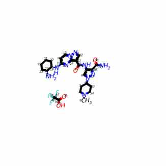 CN1CCC(n2cc(NC(=O)c3cnn4ccc(N[C@@H]5CCCC[C@@H]5N)nc34)c(C(N)=O)n2)CC1.O=C(O)C(F)(F)F